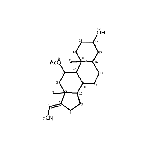 CC(=O)OC1CC2(C)C(=CC#N)CCC2C2CCC3CC(O)CCC3(C)C12